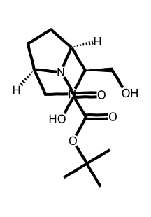 CC(C)(C)OC(=O)N1C[C@H]2CC[C@@H]([C@H]1CO)N2C(=O)O